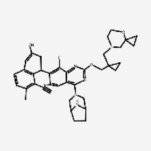 C#Cc1c(C)ccc2c1C(c1c(C(C)C)cc3c(N4CC5CCC(C4)N5)nc(OCC4(CN5CCOC6(CC6)C5)CC4)nc3c1F)CC(O)=C2